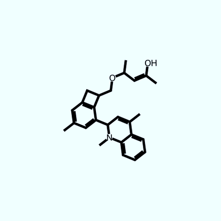 CC1=CC(c2cc(C)cc3c2C(COC(C)/C=C(/C)O)C3)N(C)c2ccccc21